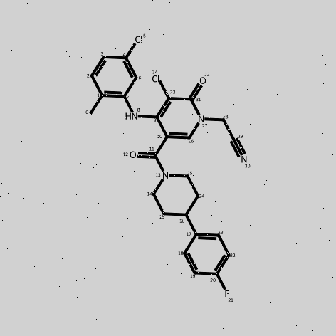 Cc1ccc(Cl)cc1Nc1c(C(=O)N2CCC(c3ccc(F)cc3)CC2)cn(CC#N)c(=O)c1Cl